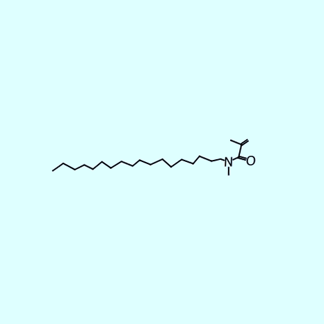 C=C(C)C(=O)N(C)CCCCCCCCCCCCCCCCCC